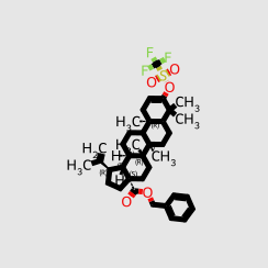 C=C(C)[C@@H]1CC[C@]2(C(=O)OCc3ccccc3)CC[C@]3(C)[C@H](CCC4[C@@]5(C)CC=C(OS(=O)(=O)C(F)(F)F)C(C)(C)C5CC[C@]43C)[C@@H]12